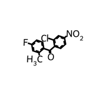 Cc1cc(F)ccc1C(=O)c1ccc([N+](=O)[O-])cc1Cl